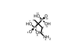 CC(CCN)(P(=O)(O)O)P(=O)(O)O